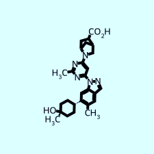 Cc1nc(N2CC3CC2CC3C(=O)O)cc(-n2ncc3cc(C)c([C@H]4CC[C@@](C)(O)CC4)cc32)n1